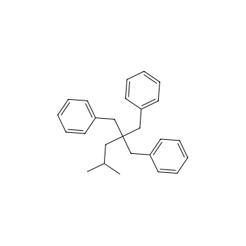 CC(C)CC(Cc1ccccc1)(Cc1ccccc1)Cc1ccccc1